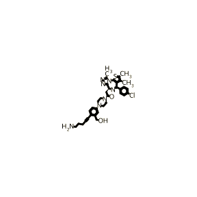 Cc1sc2c(c1C)C(c1ccc(Cl)cc1)=N[C@@H](CC(=O)N1CCN(c3ccc(C#CCCCN)c(CO)c3)CC1)c1nnc(C)n1-2